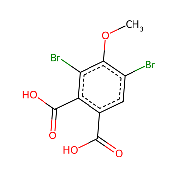 COc1c(Br)cc(C(=O)O)c(C(=O)O)c1Br